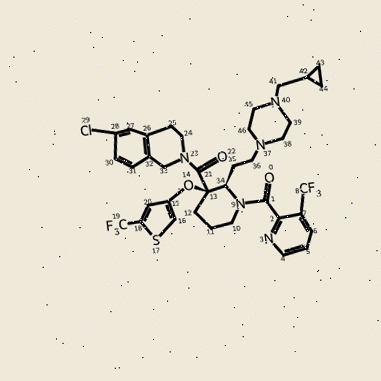 O=C(c1ncccc1C(F)(F)F)N1CCC[C@](Oc2csc(C(F)(F)F)c2)(C(=O)N2CCc3cc(Cl)ccc3C2)[C@H]1CCN1CCN(CC2CC2)CC1